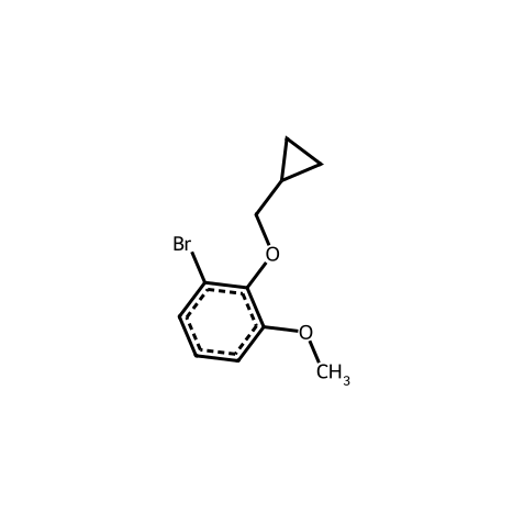 COc1cccc(Br)c1OCC1CC1